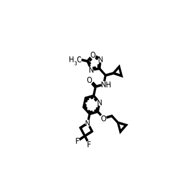 Cc1nc(C(NC(=O)c2ccc(N3CC(F)(F)C3)c(OCC3CC3)n2)C2CC2)no1